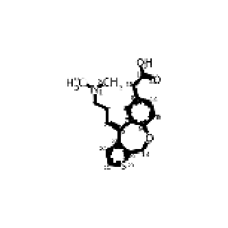 CN(C)CC/C=C1\c2cc(CC(=O)O)ccc2OCc2sccc21